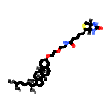 CC(C)CCC[C@@H](C)[C@H]1CC[C@H]2[C@@H]3CCC4C[C@@H](OCCOCCNC(=O)CCCC[C@@H]5SC[C@@H]6NC(=O)N[C@@H]65)CC[C@]4(C)[C@H]3CC[C@]12C